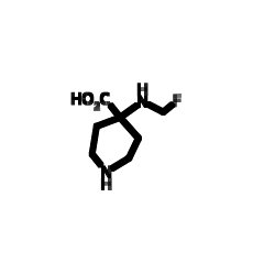 O=C(O)C1(NCF)CCNCC1